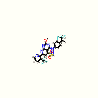 COc1nc(Nc2ccc(C(C)C(F)(F)F)cc2)c2c(S(C)(=O)=O)cc(-c3ncccc3C(F)(F)F)nc2n1